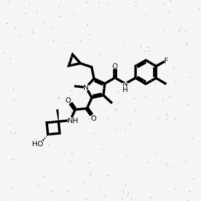 Cc1cc(NC(=O)c2c(C)c(C(=O)C(=O)N[C@]3(C)C[C@H](O)C3)n(C)c2CC2CC2)ccc1F